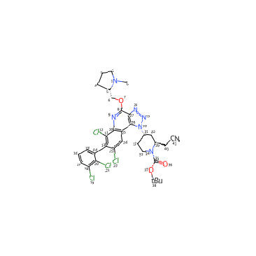 CN1CCC[C@H]1COc1nc2c(Cl)c(-c3cccc(Cl)c3Cl)c(Cl)cc2c2c1nnn2[C@H]1CCN(C(=O)OC(C)(C)C)[C@H](CC#N)C1